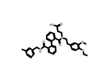 CCOc1ccc(CCN(CCC(=O)O)C(=O)c2ccccc2-c2ccccc2C(=O)NCc2cccc(C)c2)cc1OC